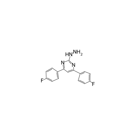 NNc1nc(-c2ccc(F)cc2)cc(-c2ccc(F)cc2)n1